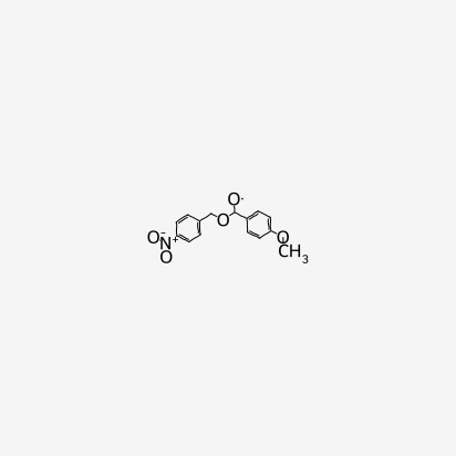 COc1ccc(C([O])OCc2ccc([N+](=O)[O-])cc2)cc1